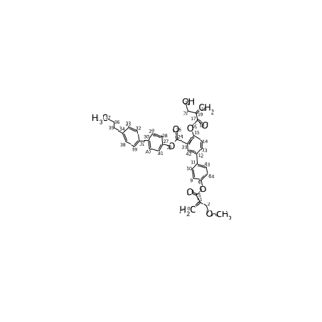 C=C(COC)C(=O)Oc1ccc(-c2ccc(OC(=O)C(=C)CO)c(C(=O)Oc3ccc(-c4ccc(CCC)cc4)cc3)c2)cc1